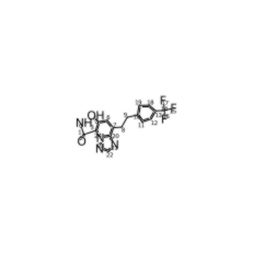 [NH]C(=O)c1c(O)cc(CCc2ccc(C(F)(F)F)cc2)c2ncnn12